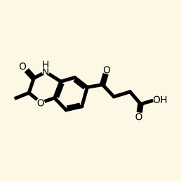 CC1Oc2ccc(C(=O)CCC(=O)O)cc2NC1=O